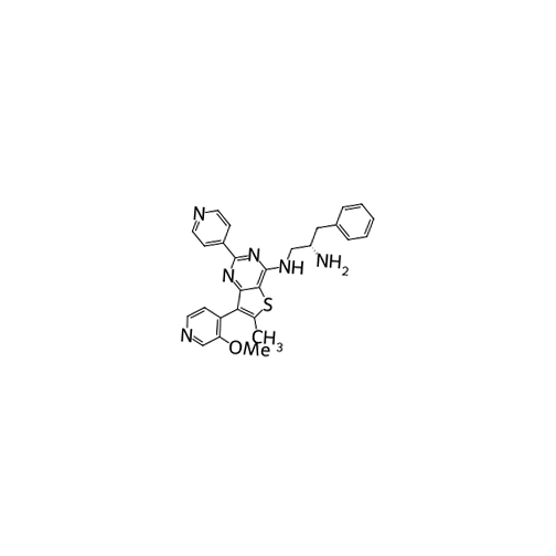 COc1cnccc1-c1c(C)sc2c(NC[C@@H](N)Cc3ccccc3)nc(-c3ccncc3)nc12